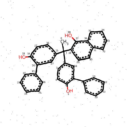 CC(c1ccc(O)c(-c2ccccc2)c1)(c1ccc(O)c(-c2ccccc2)c1)c1ccc2ccccc2c1O